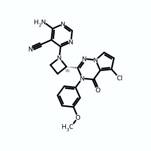 COc1cccc(-n2c([C@@H]3CCN3c3ncnc(N)c3C#N)nn3ccc(Cl)c3c2=O)c1